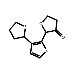 O=C1CCO[C]1c1sccc1C1CCCS1